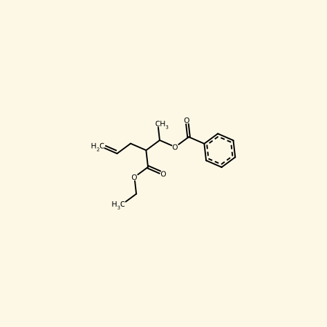 C=CCC(C(=O)OCC)C(C)OC(=O)c1ccccc1